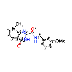 COc1cccc(CNC(=O)c2nc3c(C)cccc3c(=O)[nH]2)c1